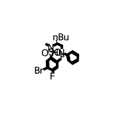 CCCC[C@H](CNc1ccccc1)N(C)S(=O)(=O)c1cc(Br)c(F)cc1F